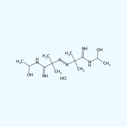 CC(O)NC(=N)C(C)(C)/N=N/C(C)(C)C(=N)NC(C)O.Cl